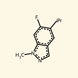 CC(C)c1cc2cnn(C)c2cc1F